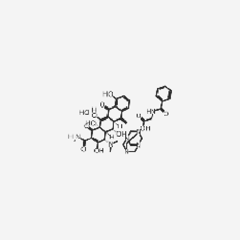 C1N2CN3CN1CN(C2)C3.C=C1c2cccc(O)c2C(=O)C2=C(O)[C@]3(O)C(=O)C(C(N)=O)=C(O)[C@@H](N(C)C)[C@@H]3[C@@H](O)[C@H]12.Cl.O=C(O)CNC(=O)c1ccccc1